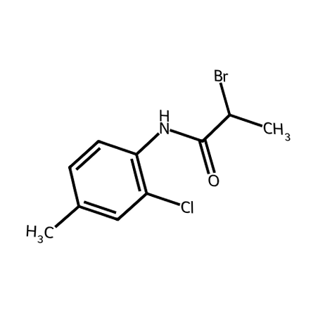 Cc1ccc(NC(=O)C(C)Br)c(Cl)c1